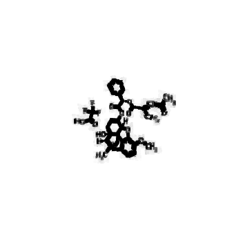 COc1ccc2c3c1O[C@H]1C(OC(=O)[C@@H](OC(=O)[C@H](C)OC(C)=O)c4ccccc4)=CC[C@@]4(O)[C@@H](C2)N(C)CC[C@]314.O=C(O)C(F)(F)F